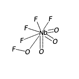 [O]=[Nb](=[O])(=[O])([F])([F])([F])([F])[O]F